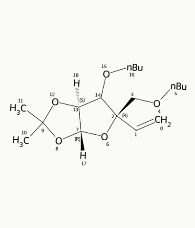 C=C[C@]1(COCCCC)O[C@@H]2OC(C)(C)O[C@H]2C1OCCCC